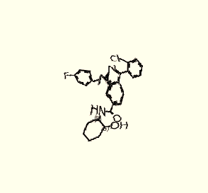 O=C(N[C@@H]1CCCC[C@@H]1O)c1ccc2c(-c3ccccc3Cl)nn(-c3ccc(F)cc3)c2c1